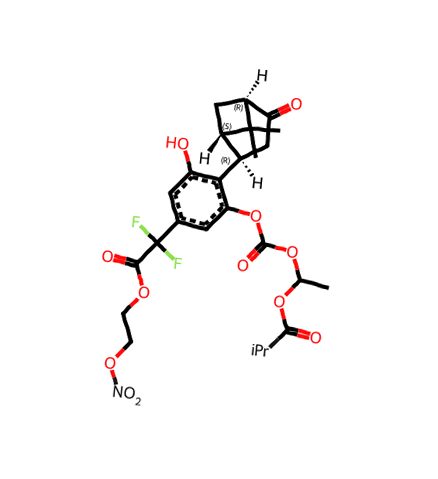 CC(OC(=O)Oc1cc(C(F)(F)C(=O)OCCO[N+](=O)[O-])cc(O)c1[C@@H]1CC(=O)[C@@H]2C[C@@H]1C2(C)C)OC(=O)C(C)C